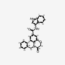 O=C(Nc1c[nH]c2ccccc12)c1ccc2c(c1)OCC(=O)N2Cc1ccccc1